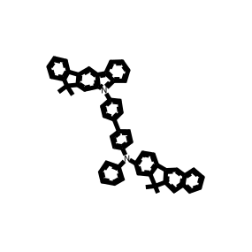 CC1(C)c2cc(N(c3ccccc3)c3ccc(-c4ccc(-n5c6ccccc6c6cc7c(cc65)C(C)(C)c5ccccc5-7)cc4)cc3)ccc2-c2cc3ccccc3cc21